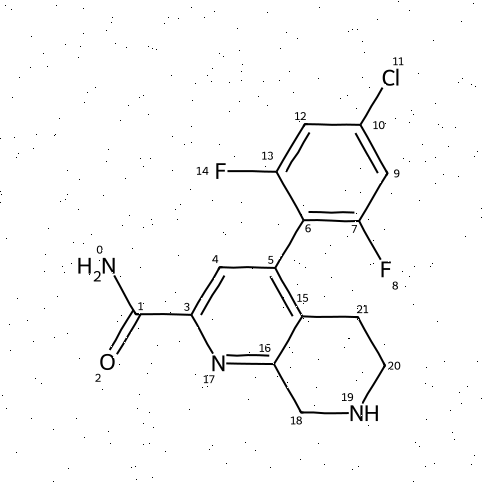 NC(=O)c1cc(-c2c(F)cc(Cl)cc2F)c2c(n1)CNCC2